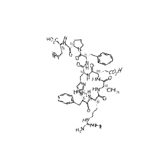 CC(C)C[C@H](NC(=O)[C@@H]1CCCN1C(=O)[C@H](Cc1ccccc1)NC(=O)[C@H](Cc1c[nH]cn1)NC(=O)[C@H](CC(=O)O)NC(=O)[C@H](C)NC(=O)[C@H](CCCNC(=N)N)NC(=O)[C@@H](N)Cc1ccccc1)C(=O)O